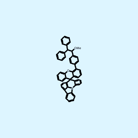 COC(c1ccc(-c2cccc3c2Oc2ccccc2C32c3ccccc3-n3c4ccccc4c4cccc2c43)cc1)C(c1ccccc1)c1ccccc1